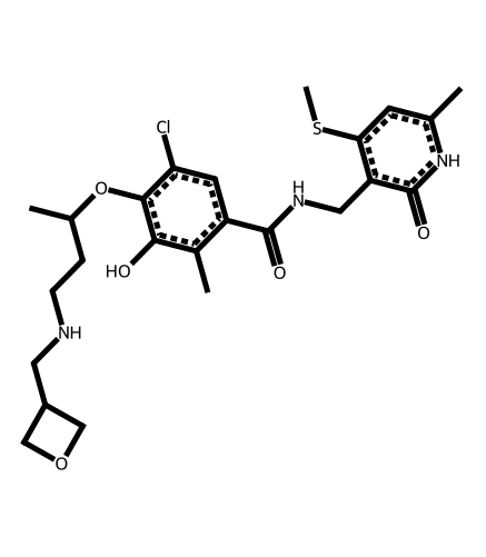 CSc1cc(C)[nH]c(=O)c1CNC(=O)c1cc(Cl)c(OC(C)CCNCC2COC2)c(O)c1C